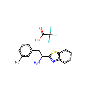 N#Cc1cccc(CC(N)c2nc3ccccc3s2)c1.O=C(O)C(F)(F)F